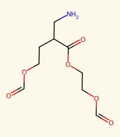 NCC(CCOC=O)C(=O)OCCOC=O